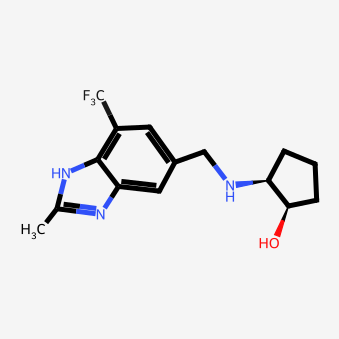 Cc1nc2cc(CN[C@H]3CCC[C@H]3O)cc(C(F)(F)F)c2[nH]1